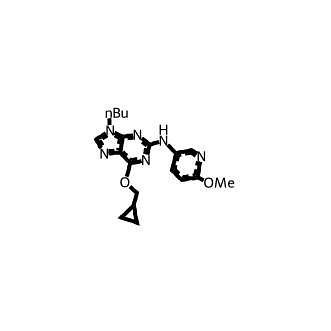 CCCCn1cnc2c(OCC3CC3)nc(Nc3ccc(OC)nc3)nc21